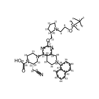 CC(C)(C)[Si](C)(C)OCCN1CCC[C@@H]1COc1nc2c(c(N3CCN(C(=O)O)[C@@H](CC#N)C3)n1)CCN(c1cccc3ccccc13)C2